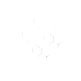 CCCCOc1ccc(C(=O)[O-])nc1.CCCCOc1ccc(C(=O)[O-])nc1.[Zn+2]